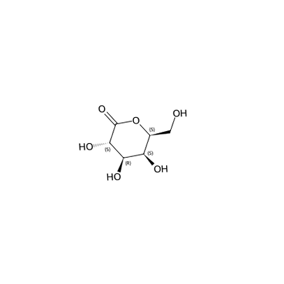 O=C1O[C@@H](CO)[C@@H](O)[C@@H](O)[C@@H]1O